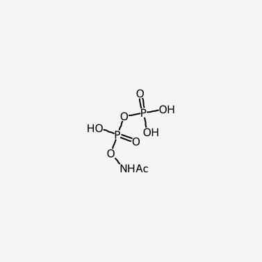 CC(=O)NOP(=O)(O)OP(=O)(O)O